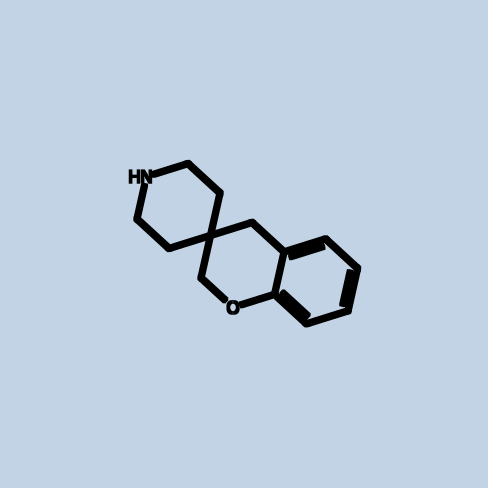 c1ccc2c(c1)CC1(CCNCC1)CO2